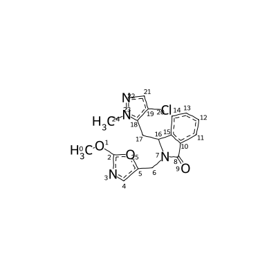 COc1ncc(CN2C(=O)c3ccccc3C2Cc2c(Cl)cnn2C)o1